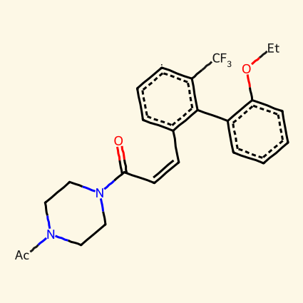 CCOc1ccccc1-c1c(C(F)(F)F)[c]ccc1/C=C\C(=O)N1CCN(C(C)=O)CC1